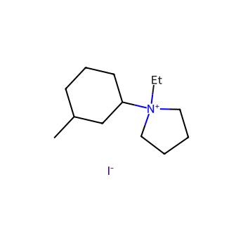 CC[N+]1(C2CCCC(C)C2)CCCC1.[I-]